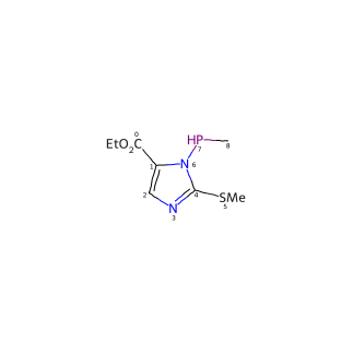 CCOC(=O)c1cnc(SC)n1PC